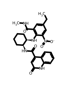 CCc1cc(C(=O)NC)c(N[C@@H]2CCCC[C@@H]2NC(=O)c2cc(=O)[nH]c3ccccc23)c([N+](=O)[O-])c1